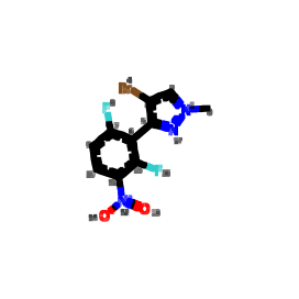 Cn1cc(Br)c(-c2c(F)ccc([N+](=O)[O-])c2F)n1